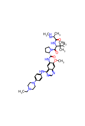 CCN1CCN(c2ccc(Nc3ncnc4cc(OC)c(NC(=O)[C@@H]5CCCN5C(=O)[C@@H](NC(=O)[C@H](C)NC)C(C)(C)C)cc34)cc2)CC1